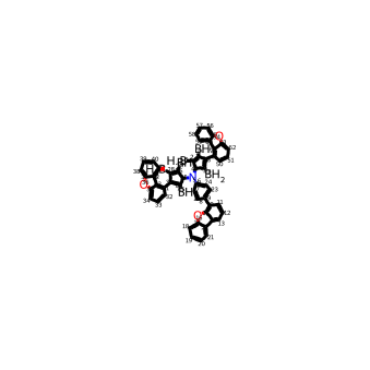 BC1=C(B)C(N(c2ccc(-c3cccc4c3oc3ccccc34)cc2)C2C(B)=C(B)C(c3cccc4oc5ccccc5c34)=C2B)C(B)=C1c1cccc2oc3ccccc3c12